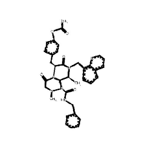 CC(=O)Oc1ccc(C[C@H]2C(=O)N(Cc3cccc4cccnc34)[C@@H](C)C3N2C(=O)CN(C)N3C(=O)NCc2ccccc2)cc1